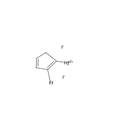 CCC1=[C]([Hf+2])CC=C1.[I-].[I-]